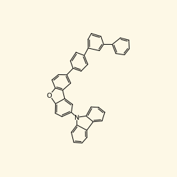 c1ccc(-c2cccc(-c3ccc(-c4ccc5oc6ccc(-n7c8ccccc8c8ccccc87)cc6c5c4)cc3)c2)cc1